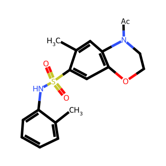 CC(=O)N1CCOc2cc(S(=O)(=O)Nc3ccccc3C)c(C)cc21